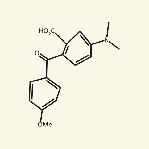 COc1ccc(C(=O)c2ccc(N(C)C)cc2C(=O)O)cc1